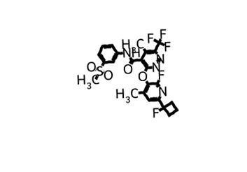 Cc1cc(C2(F)CCC2)nc(F)c1Oc1nnc(C(F)(F)F)c(C)c1C(=O)Nc1cccc(S(C)(=O)=O)c1